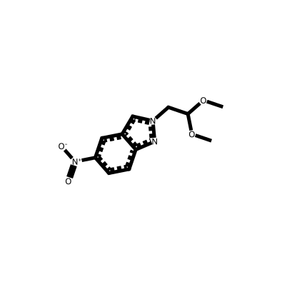 COC(Cn1cc2cc([N+](=O)[O-])ccc2n1)OC